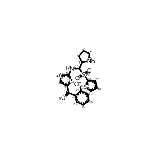 O=C(c1cnc(NC(C2CCCN2)S(=O)(=O)c2cccs2)s1)c1ccccc1C(F)(F)F